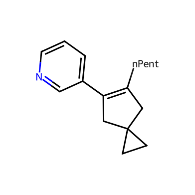 CCCCCC1=C(c2cccnc2)CC2(CC2)C1